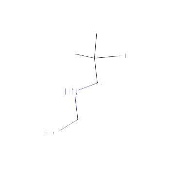 CCC(C)(C)CNCC(F)(F)F